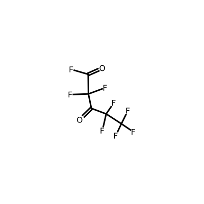 O=C(F)C(F)(F)C(=O)C(F)(F)C(F)(F)F